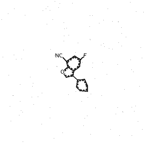 N#Cc1cc(F)cc2c(-c3ccccc3)coc12